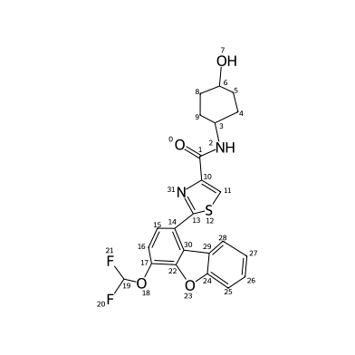 O=C(NC1CCC(O)CC1)c1csc(-c2ccc(OC(F)F)c3oc4ccccc4c23)n1